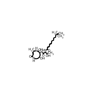 C[C@H]1/C=C/C(=O)NCC[C@H](O)C[C@H](NC(=O)[C@@H](NC(=O)/C=C/C=C/CCCCCC(C)(C)C)[C@@H](C)O)C(=O)N1